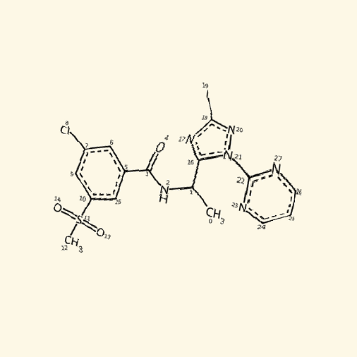 CC(NC(=O)c1cc(Cl)cc(S(C)(=O)=O)c1)c1nc(I)nn1-c1ncccn1